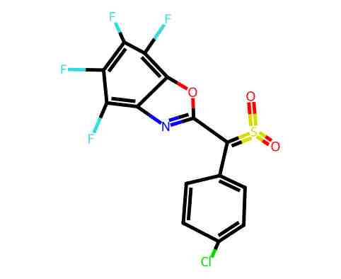 O=S(=O)=C(c1ccc(Cl)cc1)c1nc2c(F)c(F)c(F)c(F)c2o1